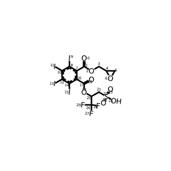 O=C(OCC1CO1)c1c(I)c(I)c(I)c(I)c1C(=O)OC(CS(=O)(=O)O)C(F)(F)F